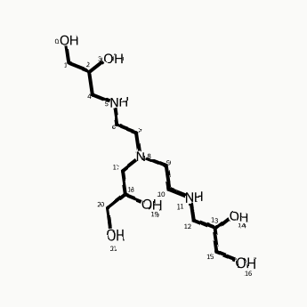 OCC(O)CNCCN(CCNCC(O)CO)CC(O)CO